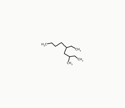 CCCCC(CC)CC(C)CC